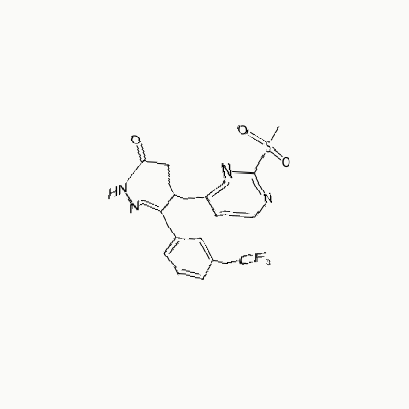 CS(=O)(=O)c1nccc(C2CC(=O)NN=C2c2cccc(C(F)(F)F)c2)n1